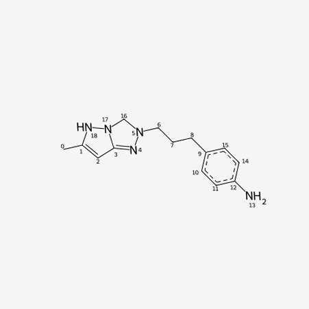 CC1=CC2=NN(CCCc3ccc(N)cc3)CN2N1